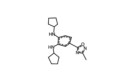 Cc1noc(-c2ccc(NC3CCCC3)c(NC3CCCC3)c2)n1